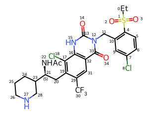 CCS(=O)(=O)c1ccc(Cl)cc1Cn1c(=O)[nH]c2c(Cl)c(C[C@H](NC(C)=O)C3CCCNC3)c(C(F)(F)F)cc2c1=O